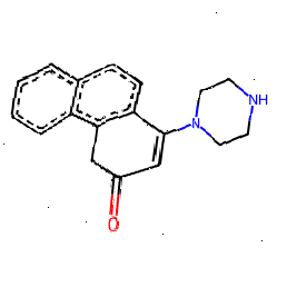 O=C1C=C(N2CCNCC2)c2ccc3ccccc3c2C1